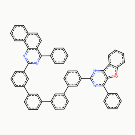 c1ccc(-c2nc(-c3cccc(-c4cccc(-c5cccc(-c6cccc(-c7nc(-c8ccccc8)c8oc9ccccc9c8n7)c6)c5)c4)c3)nc3c2ccc2ccccc23)cc1